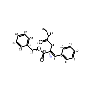 COC(=O)C/C(=C\c1ccccc1)C(=O)OCc1ccccc1